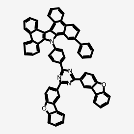 c1ccc(-c2ccc3c4ccccc4c4c5c6ccccc6c6ccccc6c5n(-c5ccc(-c6nc(-c7ccc8oc9ccccc9c8c7)nc(-c7ccc8oc9ccccc9c8c7)n6)cc5)c4c3c2)cc1